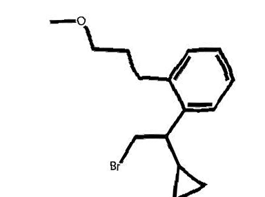 COCCCc1ccccc1C(CBr)C1CC1